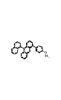 FC(F)(F)Oc1ccc(-c2cccc3c(-c4cccc5ccccc45)c4ccccc4cc23)cc1